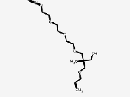 C=CCOCC(C)(CO)COCCOCCOCCN=[N+]=[N-]